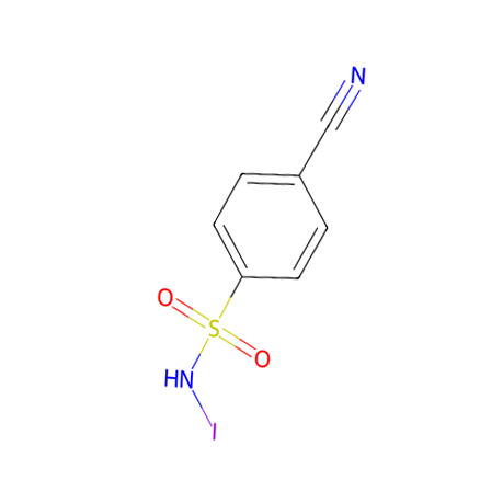 N#Cc1ccc(S(=O)(=O)NI)cc1